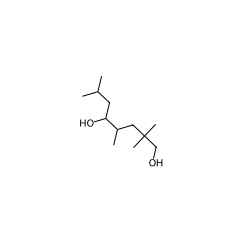 CC(C)CC(O)C(C)CC(C)(C)CO